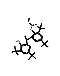 CC(c1cc(C(C)(C)C)cc(C(C)(C)C)c1O)c1cc(C(C)(C)C)cc(C(C)(C)C)c1OP(O)OF